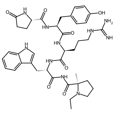 CCN1CCC[C@]1(C)C(=O)NC(=O)[C@H](Cc1c[nH]c2ccccc12)NC(=O)[C@H](CCCNC(=N)N)NC(=O)[C@H](Cc1ccc(O)cc1)NC(=O)[C@@H]1CCC(=O)N1